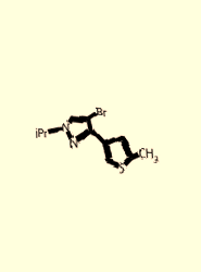 Cc1cc(-c2nn(C(C)C)cc2Br)cs1